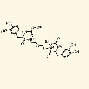 CC(C)(C)OC(=O)NC(Cc1ccc(O)c(O)c1)C(=O)NCCOCCNC(=O)C(Cc1ccc(O)c(O)c1)NC(=O)OC(C)(C)C